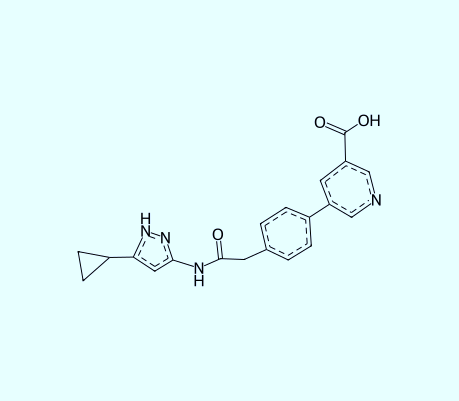 O=C(Cc1ccc(-c2cncc(C(=O)O)c2)cc1)Nc1cc(C2CC2)[nH]n1